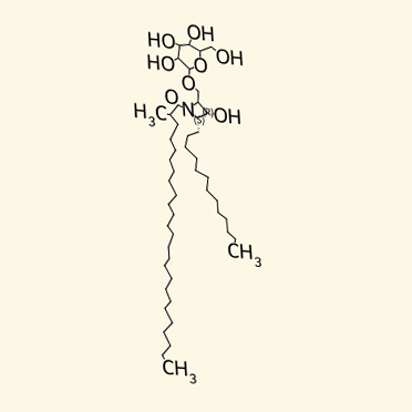 CCCCCCCCCCCCCCCCCCCCCCCC(C)C(=O)N1C(COC2OC(CO)C(O)C(O)C2O)[C@H](O)[C@@H]1CCCCCCCCCCCCC